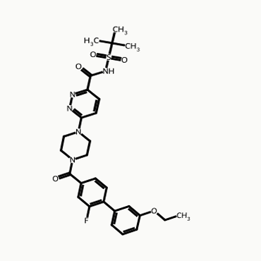 CCOc1cccc(-c2ccc(C(=O)N3CCN(c4ccc(C(=O)NS(=O)(=O)C(C)(C)C)nn4)CC3)cc2F)c1